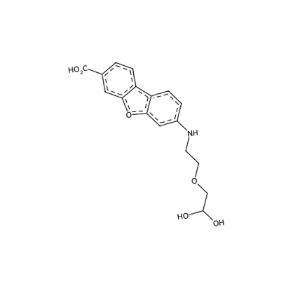 O=C(O)c1ccc2c(c1)oc1cc(NCCOCC(O)O)ccc12